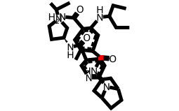 CCC(CC)Nc1cc(C(=O)NC2CC3CCC(C2)N3c2ccc(C(=O)N[C@@H]3CCN(C(C)C)C3)cn2)c(C)cc1C(N)=O